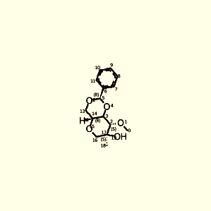 CO[C@H]1C2O[C@H](c3ccccc3)OC[C@H]2OC[C@]1(C)O